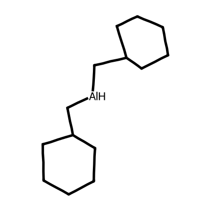 C1CCC([CH2][AlH][CH2]C2CCCCC2)CC1